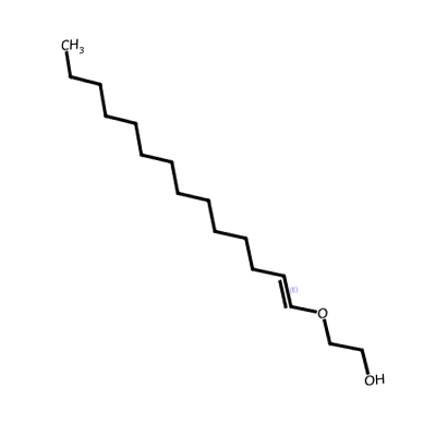 CCCCCCCCCCCC/C=C/OCCO